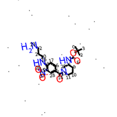 CC(C)(C)OC(=O)NC1CCCN(C(=O)c2ccc(NCCCN)c([N+](=O)[O-])c2)C1